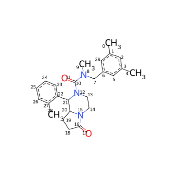 Cc1cc(C)cc(CN(C)C(=O)N2CCN3C(=O)CCC3C2c2ccccc2C)c1